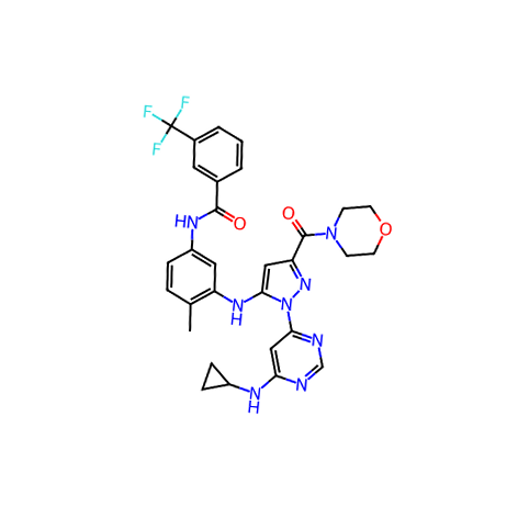 Cc1ccc(NC(=O)c2cccc(C(F)(F)F)c2)cc1Nc1cc(C(=O)N2CCOCC2)nn1-c1cc(NC2CC2)ncn1